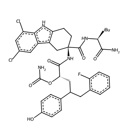 CCC(C)[C@H](NC(=O)[C@@]1(NC(=O)[C@H](CC(Cc2ccccc2F)c2ccc(O)cc2)OC(N)=O)CCc2[nH]c3c(Cl)cc(Cl)cc3c2C1)C(N)=O